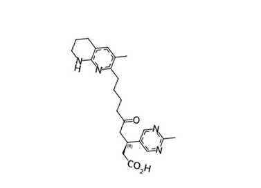 Cc1ncc([C@@H](CC(=O)O)CC(=O)CCCCc2nc3c(cc2C)CCCN3)cn1